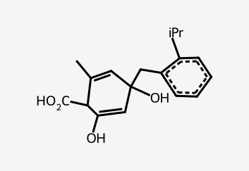 CC1=CC(O)(Cc2ccccc2C(C)C)C=C(O)C1C(=O)O